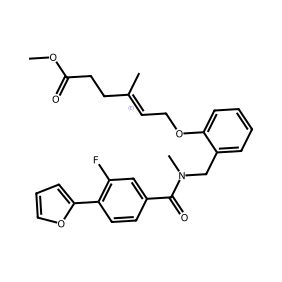 COC(=O)CC/C(C)=C/COc1ccccc1CN(C)C(=O)c1ccc(-c2ccco2)c(F)c1